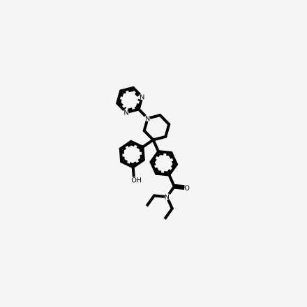 CCN(CC)C(=O)c1ccc(C2(c3cccc(O)c3)CCCN(c3ncccn3)C2)cc1